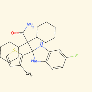 Cc1ccsc1C1(C(C(N)=O)(C2CCCCC2)C2CCCCC2)Nc2ccc(F)cc2N1